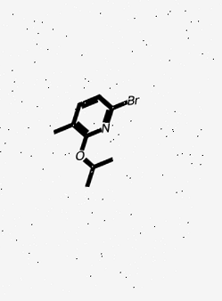 Cc1ccc(Br)nc1OC(C)C